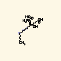 CCCCC/C=C\C/C=C/C=C/CC[C@@H](SC[C@H](N)C(=O)O)[C@@H](O)CCCC(=O)O